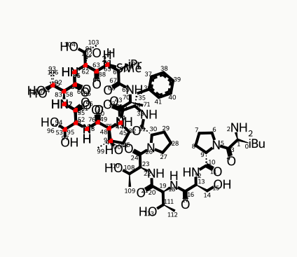 CC[C@H](C)[C@H](N)C(=O)N1CCC[C@H]1C(=O)N[C@@H](CO)C(=O)N[C@H](C(=O)N[C@H](C(=O)N1CCC[C@H]1C(=O)N[C@@H](Cc1ccccc1)C(=O)N1CCC[C@H]1C(=O)N[C@@H](CO)C(=O)N[C@H](C(=O)N[C@H](C(=O)N[C@H](C(=O)N[C@@H](C)C(=O)N[C@H](C(=O)N[C@H](C(=O)N[C@H](C(=O)N[C@@H](CCSC)C(=O)O)[C@@H](C)O)[C@@H](C)O)[C@@H](C)O)C(C)C)[C@@H](C)O)[C@@H](C)O)[C@@H](C)O)[C@@H](C)O